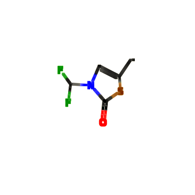 [CH2]c1cn(C(F)F)c(=O)s1